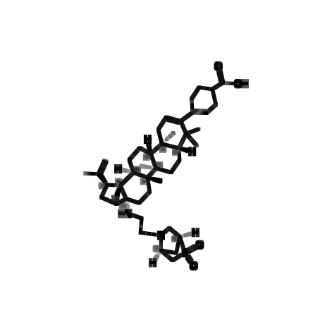 C=C(C)[C@@H]1CC[C@]2(NCCN3C[C@@H]4C[C@H]3CS4(=O)=O)CC[C@]3(C)[C@H](CC[C@@H]4[C@@]5(C)CC=C(C6=CCC(C(=O)O)CC6)C(C)(C)[C@@H]5CC[C@]43C)[C@@H]12